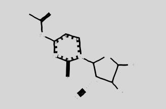 CC(=O)Nc1ccn(C2OC(O)C(O)[C@@H]2C#N)c(=O)n1